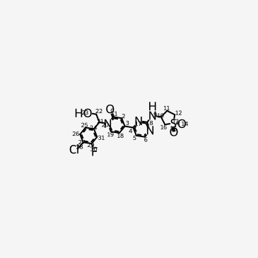 O=c1cc(-c2ccnc(NC3CCS(=O)(=O)C3)n2)ccn1C(CO)c1ccc(Cl)c(F)c1